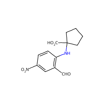 O=Cc1cc([N+](=O)[O-])ccc1NC1(C(=O)O)CCCC1